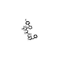 CC(=O)O[C@H](CC(=O)NCc1nc(Cc2ccccc2)cs1)C(=O)N1CCCC1c1ccc(F)cc1